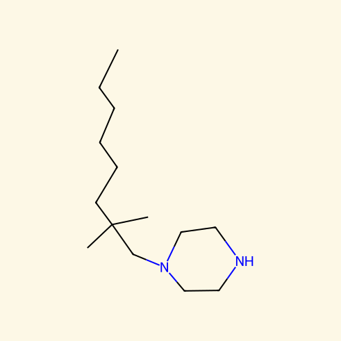 CCCCCCC(C)(C)CN1CCNCC1